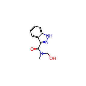 CN(CO)C(=O)c1n[nH]c2ccccc12